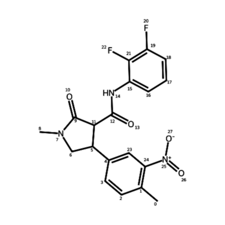 Cc1ccc(C2CN(C)C(=O)C2C(=O)Nc2cccc(F)c2F)cc1[N+](=O)[O-]